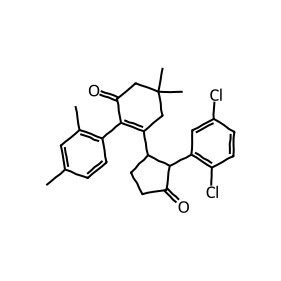 Cc1ccc(C2=C(C3CCC(=O)C3c3cc(Cl)ccc3Cl)CC(C)(C)CC2=O)c(C)c1